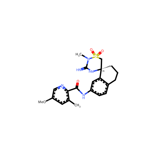 COc1cnc(C(=O)Nc2ccc3c(c2)[C@]2(CCC3)CS(=O)(=O)N(C)C(=N)N2)c(C)c1